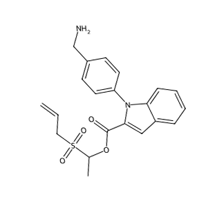 C=CCS(=O)(=O)C(C)OC(=O)c1cc2ccccc2n1-c1ccc(CN)cc1